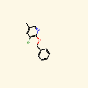 Cc1cnc(OCc2ccccc2)c(Br)c1